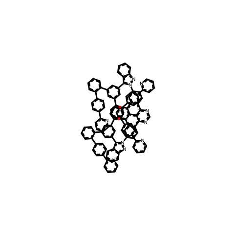 c1ccc(-c2ccc(-c3ccccc3-c3cc(-c4ccccc4-c4ccc(-c5ccccn5)cc4)cc(-c4c5ccccc5nn4-c4ccc5c(c4)c4cccc6c7cc(-n8nc9ccccc9c8-c8cc(-c9ccccc9-c9ccc(-c%10ccccn%10)cc9)cc(-c9ccccc9-c9ccc(-c%10ccccn%10)cc9)c8)ccc7c7ncnc5c7c46)c3)cc2)nc1